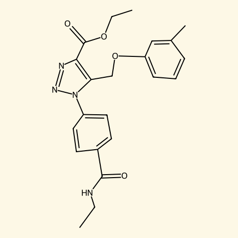 CCNC(=O)c1ccc(-n2nnc(C(=O)OCC)c2COc2cccc(C)c2)cc1